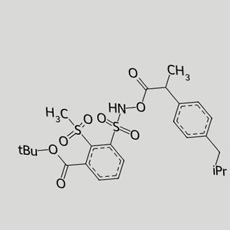 CC(C)Cc1ccc(C(C)C(=O)ONS(=O)(=O)c2cccc(C(=O)OC(C)(C)C)c2S(C)(=O)=O)cc1